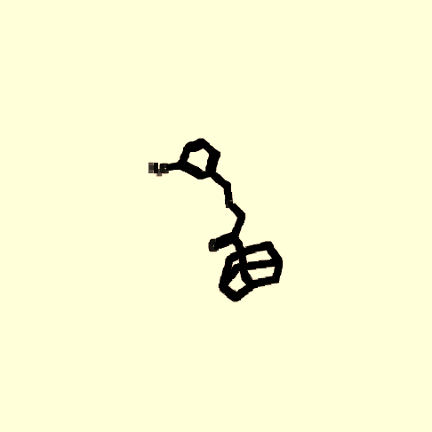 Cc1cccc(CSCC(=O)C23CC4CC(CC(C4)C2)C3)c1